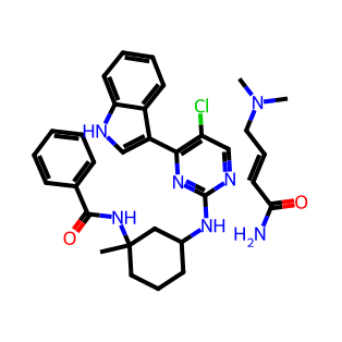 CC1(NC(=O)c2ccccc2)CCCC(Nc2ncc(Cl)c(-c3c[nH]c4ccccc34)n2)C1.CN(C)C/C=C/C(N)=O